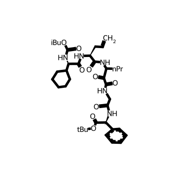 C=CC[C@H](NC(=O)[C@@H](NC(=O)OCC(C)C)C1CCCCC1)C(=O)NC(CCC)C(=O)C(=O)NCC(=O)N[C@H](C(=O)OC(C)(C)C)c1ccccc1